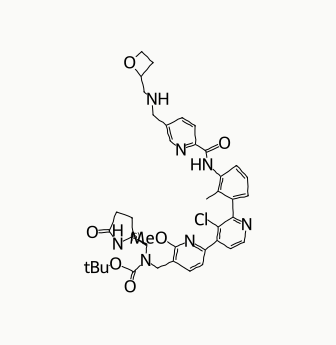 COc1nc(-c2ccnc(-c3cccc(NC(=O)c4ccc(CNCC5CCO5)cn4)c3C)c2Cl)ccc1CN(C[C@@H]1CCC(=O)N1)C(=O)OC(C)(C)C